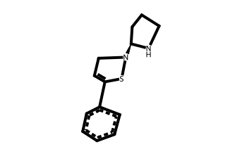 C1=C(c2ccccc2)SN([C@H]2CCCN2)C1